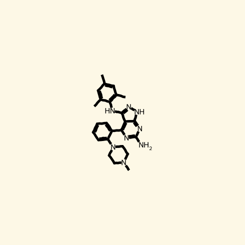 Cc1cc(C)c(Nc2n[nH]c3nc(N)nc(-c4ccccc4N4CCN(C)CC4)c23)c(C)c1